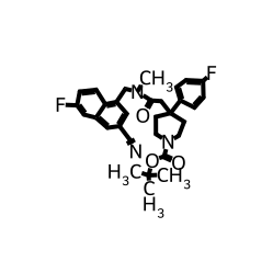 CN(Cc1cc(C#N)cc2cc(F)ccc12)C(=O)CC1(c2ccc(F)cc2)CCN(C(=O)OC(C)(C)C)CC1